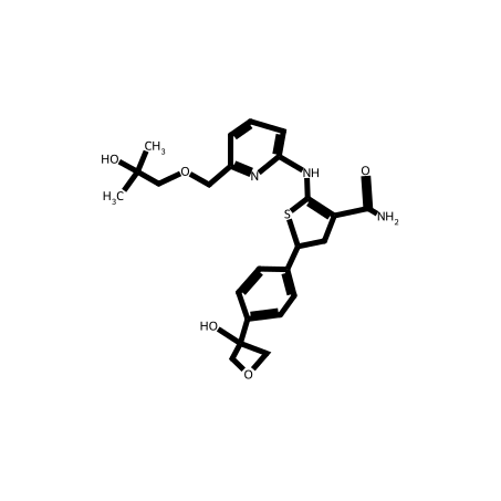 CC(C)(O)COCc1cccc(NC2=C(C(N)=O)CC(c3ccc(C4(O)COC4)cc3)S2)n1